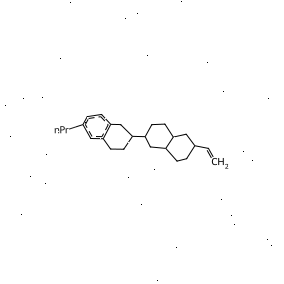 C=CC1CCC2CC(C3CCc4cc(CCC)ccc4C3)CCC2C1